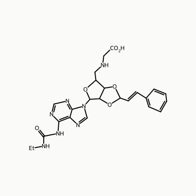 CCNC(=O)Nc1ncnc2c1ncn2C1OC(CNCC(=O)O)C2OC(/C=C/c3ccccc3)OC21